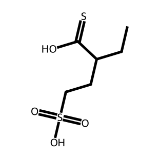 CCC(CCS(=O)(=O)O)C(O)=S